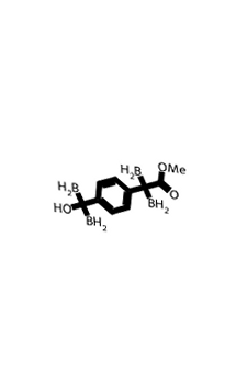 BC(B)(O)c1ccc(C(B)(B)C(=O)OC)cc1